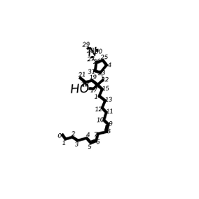 CCCCC/C=C\C/C=C\CCCCCCC(CO)(CCC)C[C@H]1CC[C@@H](CN(C)C)C1